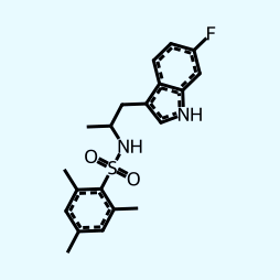 Cc1cc(C)c(S(=O)(=O)NC(C)Cc2c[nH]c3cc(F)ccc23)c(C)c1